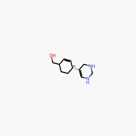 OCC1C=C[C@H](C2=CNCNC2)CC1